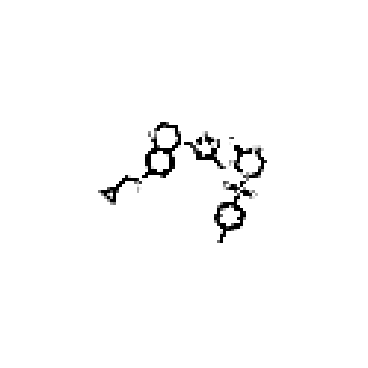 Cc1ccc(S(=O)(=O)N2CCNC(=O)[C@H]2Cc2cn([C@@H]3CCOc4cc(NCC5CC5)ccc43)nn2)cc1